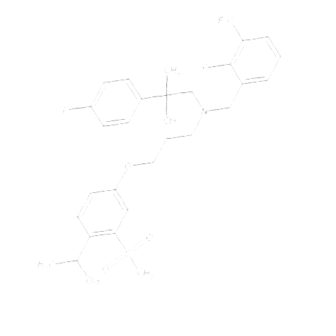 CC(O)c1ccc(OCCCN(Cc2cccc(C(F)(F)F)c2F)CC(C)(C)c2ccc(F)cc2)cc1S(C)(=O)=O